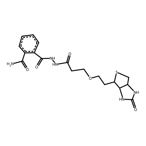 NC(=O)c1ccccc1C(=O)NNC(=O)CCOCCC1SCC2NC(=O)NC21